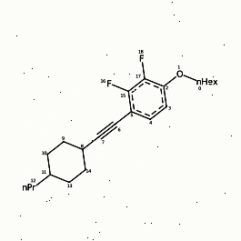 CCCCCCOc1ccc(C#CC2CCC(CCC)CC2)c(F)c1F